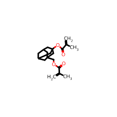 C=C(C)C(=O)OCC12CC3CC(C1)CC(OC(=O)C(=C)C)(C3)C2